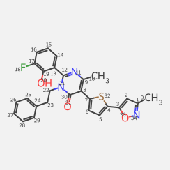 Cc1cc(-c2ccc(-c3c(C)nc(-c4cccc(F)c4O)n(CCc4ccccc4)c3=O)s2)on1